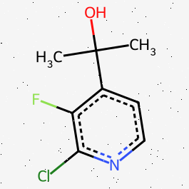 CC(C)(O)c1ccnc(Cl)c1F